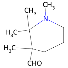 CN1CCCC(C)(C=O)C1(C)C